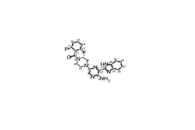 Nc1ncc(N2CCN(C(=O)c3c(F)cccc3F)CC2)nc1-c1nc2ccccc2[nH]1